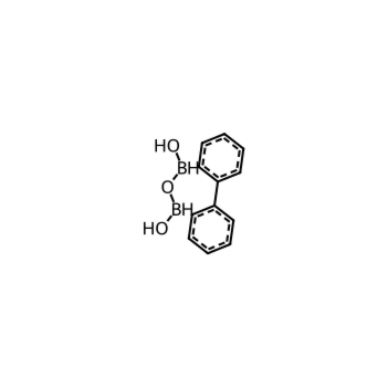 OBOBO.c1ccc(-c2ccccc2)cc1